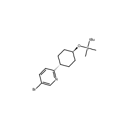 CC(C)(C)[Si](C)(C)O[C@H]1CC[C@H](c2ccc(Br)cn2)CC1